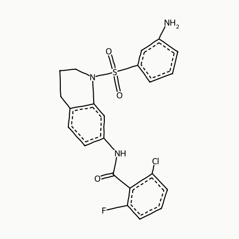 Nc1cccc(S(=O)(=O)N2CCCc3ccc(NC(=O)c4c(F)cccc4Cl)cc32)c1